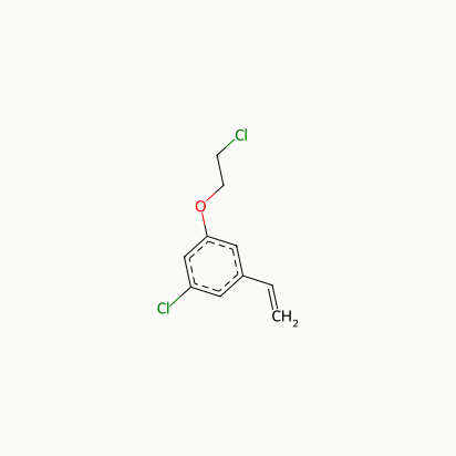 C=Cc1cc(Cl)cc(OCCCl)c1